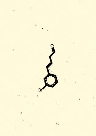 O=[C]C/C=C/c1cccc(Br)c1